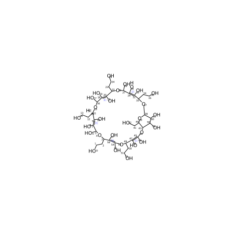 OCCC1OC(O)/C(O)=C(\O)[C@@H](CCO)OC(O)/C(O)=C(\O)C(CCO)OC(O)/C(O)=C(/O)C(CCO)OC2OC(CO)C(O/C(O)=C(/O)C(CCO)O/C(O)=C/1O)C(O)C2O